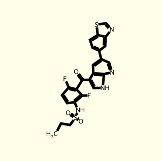 CCCS(=O)(=O)Nc1ccc(F)c(C(=O)c2c[nH]c3ncc(-c4ccc5scnc5c4)cc23)c1F